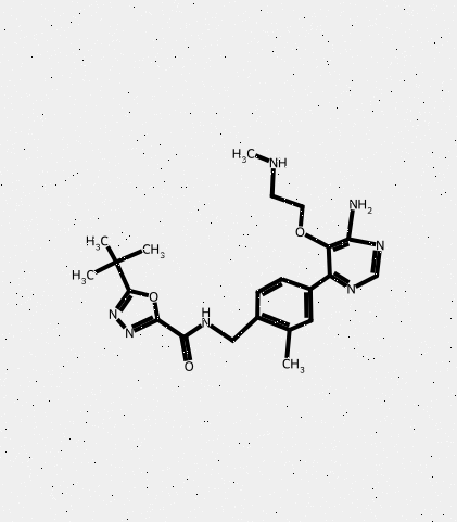 CNCCOc1c(N)ncnc1-c1ccc(CNC(=O)c2nnc(C(C)(C)C)o2)c(C)c1